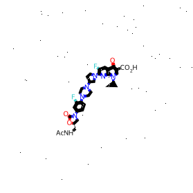 CC(=O)NC[C@H]1CN(c2ccc(N3CCN(C4CCN(c5nc6c(cc5F)c(=O)c(C(=O)O)cn6C5CC5)C4)CC3)c(F)c2)C(=O)O1